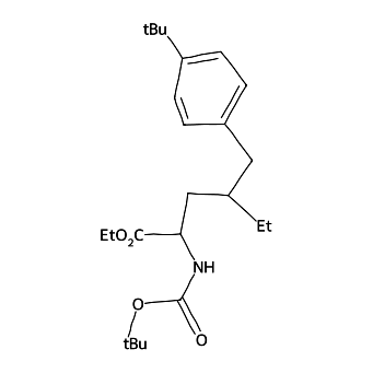 CCOC(=O)C(CC(CC)Cc1ccc(C(C)(C)C)cc1)NC(=O)OC(C)(C)C